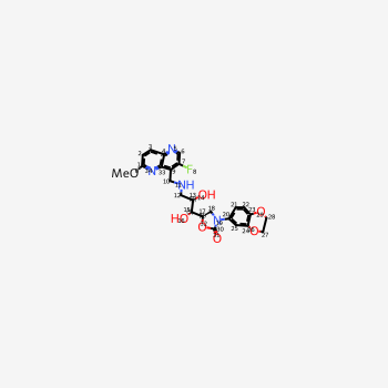 COc1ccc2ncc(F)c(CNC[C@@H](O)[C@H](O)[C@H]3CN(c4ccc5c(c4)OCCO5)C(=O)O3)c2n1